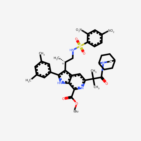 Cc1cc(C)cc(-c2[nH]c3c(C(=O)OC(C)(C)C)nc(C(C)(C)C(=O)N4CC5CCC4CC5)cc3c2[C@H](C)CNS(=O)(=O)c2ccc([N+](=O)[O-])cc2[N+](=O)[O-])c1